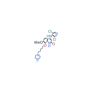 COc1ccc2c(Nc3c(Cl)cncc3Cl)cc(=O)[nH]c2c1OCCCCCN1CCN(C)CC1